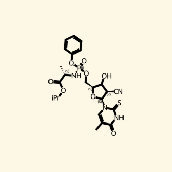 Cc1cn([C@H]2O[C@@H](CO[P@](=O)(N[C@@H](C)C(=O)OC(C)C)Oc3ccccc3)C(O)[C@H]2C#N)c(=S)[nH]c1=O